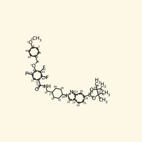 COc1ccc(COc2c(F)cc(C(=O)NCC3CCC(n4cc5ccc(B6OC(C)(C)C(C)(C)O6)cc5n4)CC3)c(F)c2F)cc1